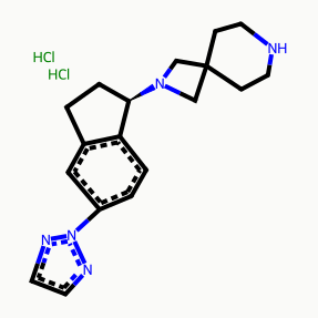 Cl.Cl.c1cnn(-c2ccc3c(c2)CC[C@H]3N2CC3(CCNCC3)C2)n1